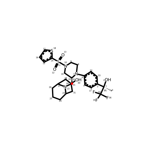 C[C@@](O)(c1ccc(N2CCN(S(=O)(=O)c3cccs3)C[C@@H]2CN2C3CCCC2CC(O)C3)cc1)C(F)(F)F